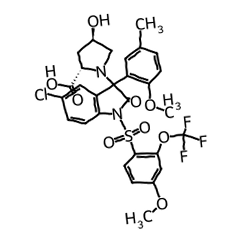 COc1ccc(S(=O)(=O)N2C(=O)C(c3cc(C)ccc3OC)(N3C[C@H](O)C[C@H]3C(=O)O)c3cc(Cl)ccc32)c(OC(F)(F)F)c1